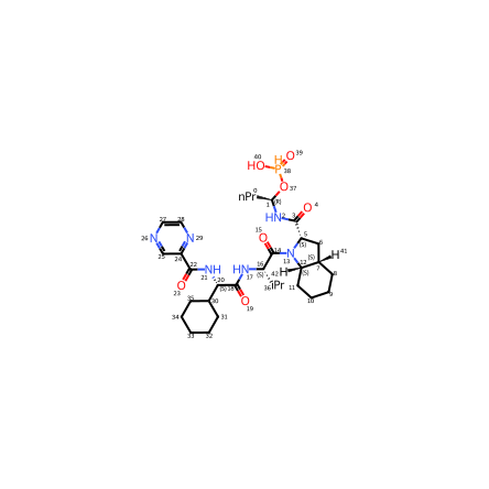 CCC[C@H](NC(=O)[C@@H]1C[C@@H]2CCCC[C@@H]2N1C(=O)[C@@H](NC(=O)[C@@H](NC(=O)c1cnccn1)C1CCCCC1)C(C)C)O[PH](=O)O